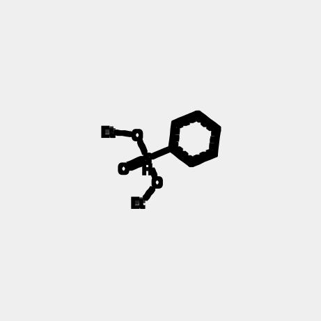 CCO[SH](=O)(OCC)c1ccccc1